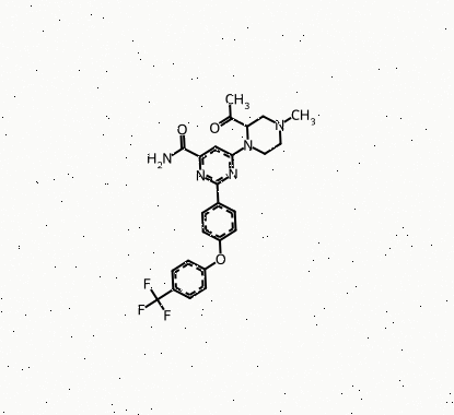 CC(=O)C1CN(C)CCN1c1cc(C(N)=O)nc(-c2ccc(Oc3ccc(C(F)(F)F)cc3)cc2)n1